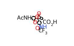 CC(=O)Nc1ccc2c(c1)Oc1cc(NC(=O)C(F)(F)F)ccc1C21OC(=O)c2ccc(C(=O)O)cc21